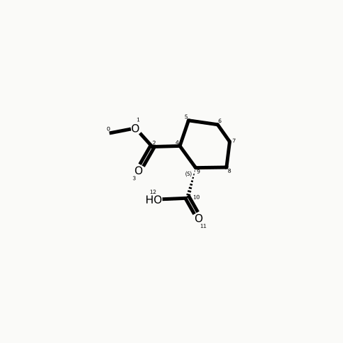 COC(=O)C1CCCC[C@@H]1C(=O)O